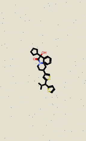 C[C](C)C(c1cccs1)c1cc(C2CCN(C(=O)C(O)(c3ccccc3)C3CCCC3)CC2)cs1